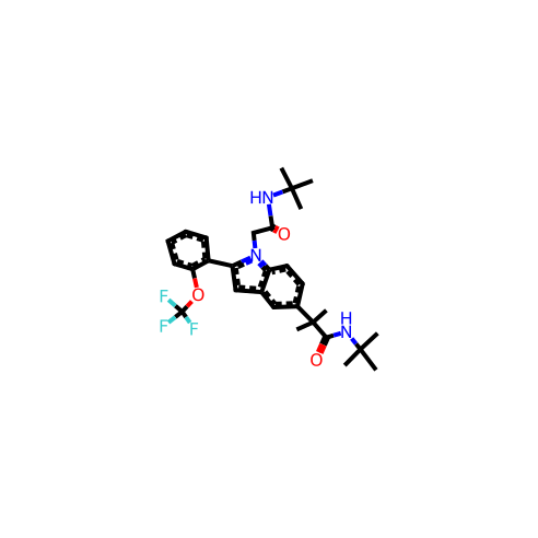 CC(C)(C)NC(=O)Cn1c(-c2ccccc2OC(F)(F)F)cc2cc(C(C)(C)C(=O)NC(C)(C)C)ccc21